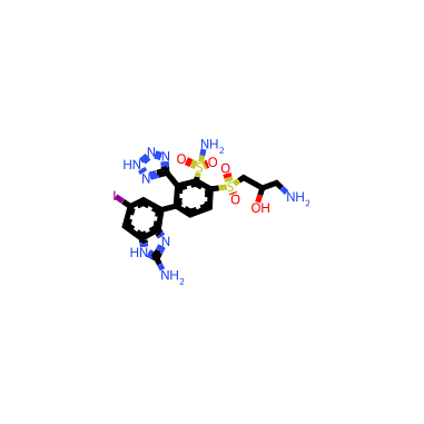 NCC(O)CS(=O)(=O)c1ccc(-c2cc(I)cc3[nH]c(N)nc23)c(-c2nn[nH]n2)c1S(N)(=O)=O